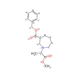 COC(=O)C(C)N1CCCCC(C(=O)OCc2ccccc2)C1